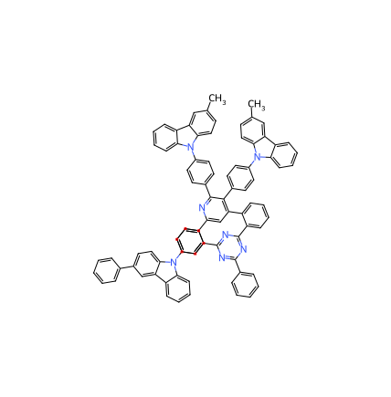 Cc1ccc2c(c1)c1ccccc1n2-c1ccc(-c2nc(-c3ccc(-n4c5ccccc5c5cc(-c6ccccc6)ccc54)cc3)cc(-c3ccccc3-c3nc(-c4ccccc4)nc(-c4ccccc4)n3)c2-c2ccc(-n3c4ccccc4c4cc(C)ccc43)cc2)cc1